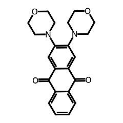 O=C1c2ccccc2C(=O)c2cc(N3CCOCC3)c(N3CCOCC3)cc21